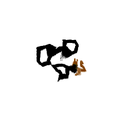 Cc1ccccc1.S.c1ccc(-c2ccccc2)cc1